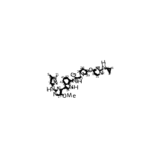 COc1cnc(Nc2cc(C)n(C)n2)nc1-c1c[nH]c2c(NC(=O)CN3CC[C@H](Oc4ccnc(NC5CC5)n4)C3)cccc12